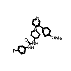 COc1ccc(-c2cnccc2N2CCC(NC(=O)Nc3ccc(F)cc3)CC2)cc1